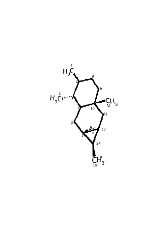 CC(=O)[C@@]12CC3[C@H](C)C(C)CC[C@]3(C)CC1[C@H]2C